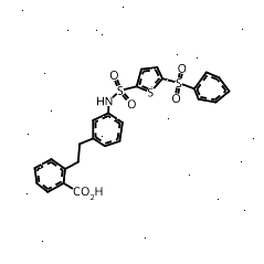 O=C(O)c1ccccc1CCc1cccc(NS(=O)(=O)c2ccc(S(=O)(=O)c3ccccc3)s2)c1